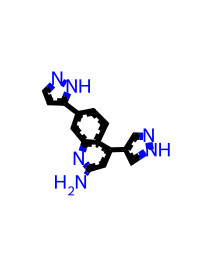 Nc1cc(-c2cn[nH]c2)c2ccc(-c3ccn[nH]3)cc2n1